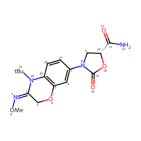 CO/N=C1\COc2cc(N3C[C@H](C(N)=O)OC3=O)ccc2N1C(C)(C)C